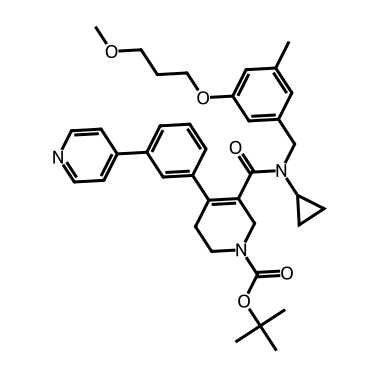 COCCCOc1cc(C)cc(CN(C(=O)C2=C(c3cccc(-c4ccncc4)c3)CCN(C(=O)OC(C)(C)C)C2)C2CC2)c1